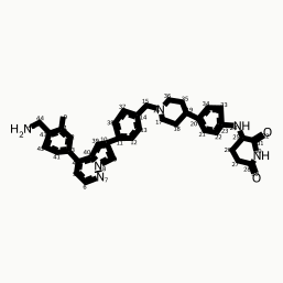 Cc1cc(-c2ccnn3cc(-c4ccc(CN5CCC(c6ccc(NC7CCC(=O)NC7=O)cc6)CC5)cc4)cc23)ccc1CN